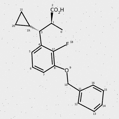 C[C@H](C(=O)O)[C@H](c1cccc(OCc2ccccc2)c1F)C1CC1